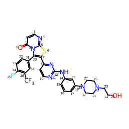 O=c1ccnc2sc(-c3ccnc(Nc4cccc(N5CCN(CCO)CC5)c4)n3)c(-c3ccc(F)c(C(F)(F)F)c3)n12